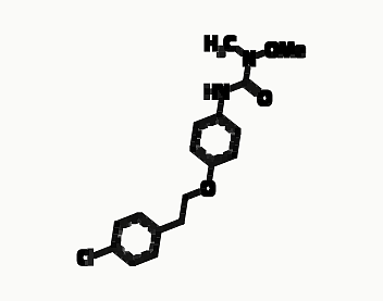 CON(C)C(=O)Nc1ccc(OCCc2ccc(Cl)cc2)cc1